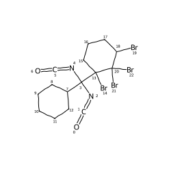 O=C=NC(N=C=O)(C1CCCCC1)C1(Br)CCCC(Br)C1(Br)Br